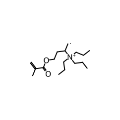 [CH2]C(CCOC(=O)C(=C)C)[N+](CCC)(CCC)CCC